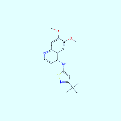 COc1cc2nccc(Nc3cc(C(C)(C)C)ns3)c2cc1OC